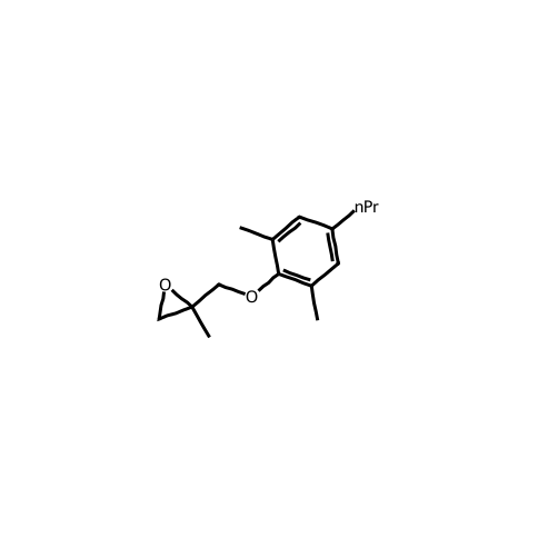 CCCc1cc(C)c(OCC2(C)CO2)c(C)c1